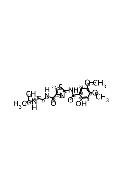 COc1cc(O)c(C(=O)Nc2nc(C(=O)NCCNC(C)C)cs2)cc1OC